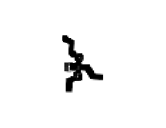 CCCOP(=O)(CCC)OCC